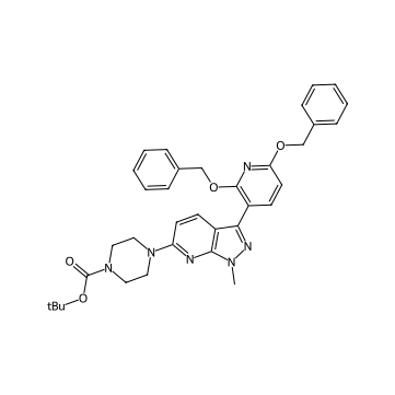 Cn1nc(-c2ccc(OCc3ccccc3)nc2OCc2ccccc2)c2ccc(N3CCN(C(=O)OC(C)(C)C)CC3)nc21